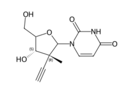 C#C[C@@]1(C)C(n2ccc(=O)[nH]c2=O)OC(CO)[C@H]1O